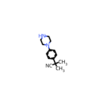 CC(C)(C#N)c1ccc(N2CCNCC2)cc1